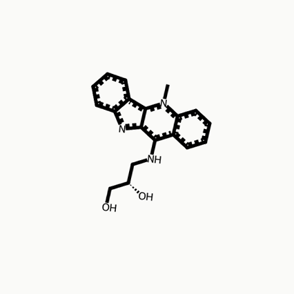 Cn1c2c3ccccc3nc-2c(NC[C@H](O)CO)c2ccccc21